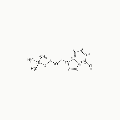 CS(C)(C)CCOCn1ccc2c(Cl)ccnc21